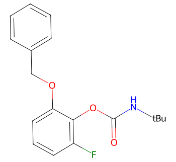 CC(C)(C)NC(=O)Oc1c(F)cccc1OCc1ccccc1